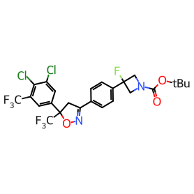 CC(C)(C)OC(=O)N1CC(F)(c2ccc(C3=NOC(c4cc(Cl)c(Cl)c(C(F)(F)F)c4)(C(F)(F)F)C3)cc2)C1